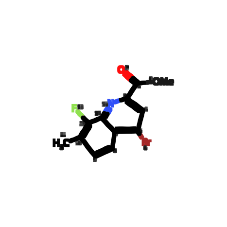 COC(=O)c1cc(Br)c2ccc(C)c(F)c2n1